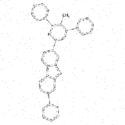 Cc1c(-c2ccccc2)cc(-c2ccc3c(c2)sc2cc(-c4ccccc4)ccc23)nc1-c1ccccc1